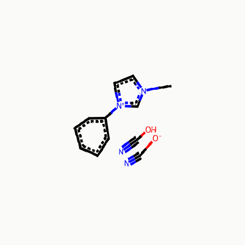 Cn1cc[n+](-c2ccccc2)c1.N#CO.N#C[O-]